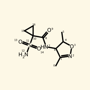 CC1=NOC(C)C1NC(=O)C1(S(N)(=O)=O)CC1